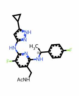 CC(=O)NCc1cc(F)c(Nc2cc(C3CC3)[nH]n2)nc1N[C@@H](C)c1ccc(F)cc1